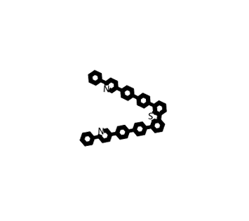 c1ccc(-c2ccc(-c3ccc(-c4ccc(-c5cccc6c5sc5c(-c7ccc(-c8ccc(-c9ccc(-c%10ccccc%10)nc9)cc8)cc7)cccc56)cc4)cc3)cn2)cc1